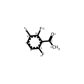 CC(=O)c1c(F)ccc(I)c1F